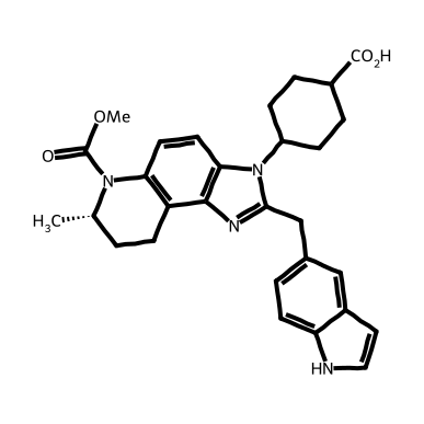 COC(=O)N1c2ccc3c(nc(Cc4ccc5[nH]ccc5c4)n3C3CCC(C(=O)O)CC3)c2CC[C@@H]1C